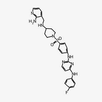 Nc1ncccc1CNC1CCN(S(=O)(=O)c2ccc(Nc3nccc(Nc4ccc(F)cc4)n3)cc2)CC1